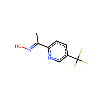 CC(=NO)c1ccc(C(F)(F)F)cn1